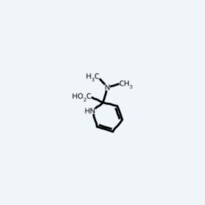 CN(C)C1(C(=O)O)C=CC=CN1